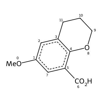 COc1cc2c(c(C(=O)O)c1)OCCC2